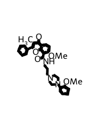 COc1ccccc1N1CCN(CCCNC(=O)c2c(OC)ccc3c(=O)c(C)c(-c4ccccc4)oc23)CC1